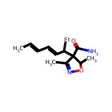 C/C=C/C=C/C(CC)C1(C(N)=O)C(C)=NOC1C